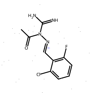 CC(=O)N(/N=C/c1c(F)cccc1Cl)C(=N)N